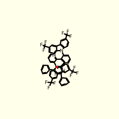 FC(F)(F)c1ccc2c(c1)c1cc(C(F)(F)F)ccc1n2-c1cccnc1-c1c(-c2nc(-c3ccccc3)nc(-c3ccccc3)n2)cccc1-n1c2ccc(C(F)(F)F)cc2c2cc(C(F)(F)F)ccc21